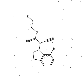 N#CN(C(=N)NCCF)C1CCc2cccc(Br)c21